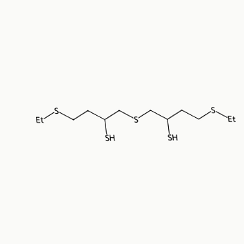 CCSCCC(S)CSCC(S)CCSCC